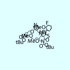 COc1c(F)cccc1NC(=S)C1=C(NCc2ccncc2OCC2CN(C(=O)OC(C)(C)C)C2)C(CCC(OC)OC)CN(C(=O)OC(C)(C)C)C1=O